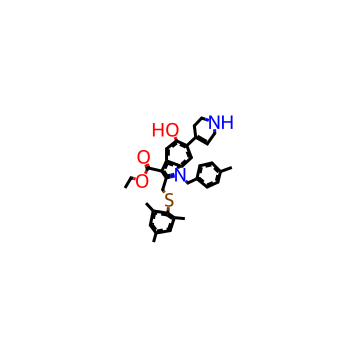 CCOC(=O)c1c(CSc2c(C)cc(C)cc2C)n(Cc2ccc(C)cc2)c2cc(C3=CCNCC3)c(O)cc12